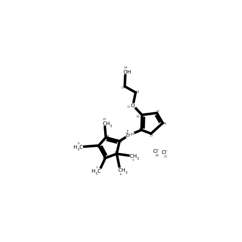 CC1=C(C)C(C)(C)[C]([Zr+2][C]2=C(OCCO)C=CC2)=C1C.[Cl-].[Cl-]